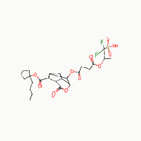 CCCCC1(OC(=O)C2C3CC4C(OC(=O)C42)C3OC(=O)CCC(=O)OC(C)C(F)(F)S(=O)(=O)O)CCCC1